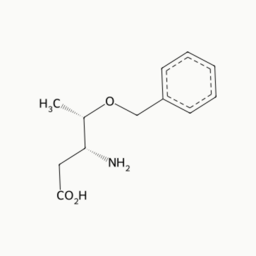 C[C@H](OCc1ccccc1)[C@H](N)CC(=O)O